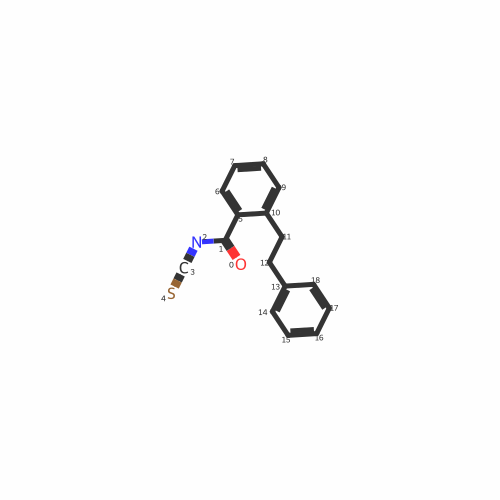 O=C(N=C=S)c1ccccc1CCc1ccccc1